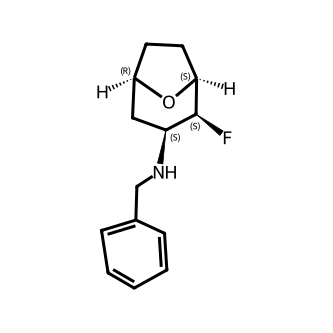 F[C@H]1[C@@H](NCc2ccccc2)C[C@H]2CC[C@@H]1O2